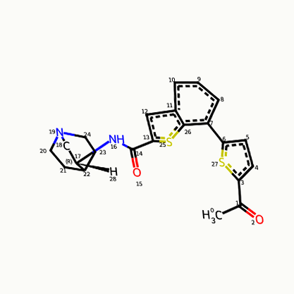 CC(=O)c1ccc(-c2cccc3cc(C(=O)N[C@H]4CN5CCC4CC5)sc23)s1